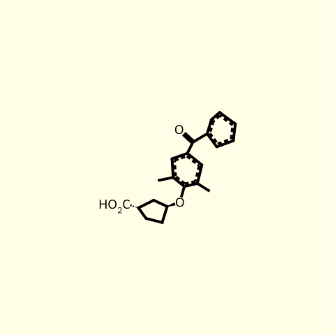 Cc1cc(C(=O)c2ccccc2)cc(C)c1O[C@H]1CC[C@H](C(=O)O)C1